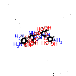 NC1C[C@@H](N)C(O)[C@@H](O)[C@@H]1O[C@H]1OC(CO)[C@@H](O)[C@H](OCO[C@H]2C(N)[C@H](O[C@H]3C(N)C[C@H](N)C(O)[C@@H]3O)OC(CO)[C@@H]2O)C1N